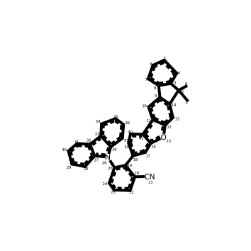 CC1(C)c2ccccc2-c2cc3c(cc21)oc1cc(-c2c(C#N)cccc2-n2c4ccccc4c4ccccc42)ccc13